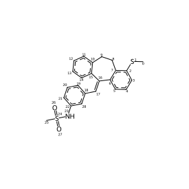 CSc1cccc2c1CCc1ccccc1C2=Cc1cccc(NS(C)(=O)=O)c1